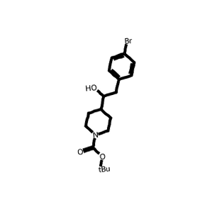 CC(C)(C)OC(=O)N1CCC(C(O)Cc2ccc(Br)cc2)CC1